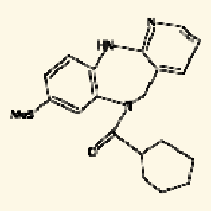 CSc1ccc2c(c1)N(C(=O)C1CCCCC1)Cc1cccnc1N2